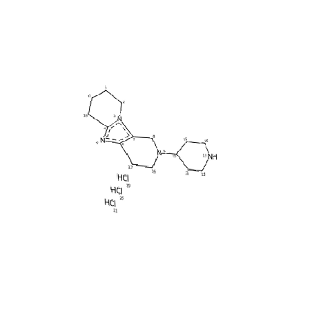 C1CCn2c(nc3c2CN(C2CCNCC2)CC3)C1.Cl.Cl.Cl